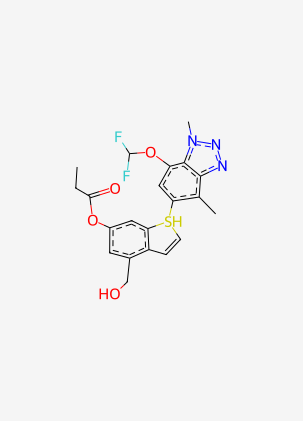 CCC(=O)Oc1cc(CO)c2c(c1)[SH](c1cc(OC(F)F)c3c(nnn3C)c1C)C=C2